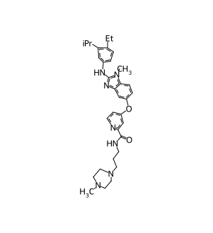 CCc1ccc(Nc2nc3cc(Oc4ccnc(C(=O)NCCCN5CCN(C)CC5)c4)ccc3n2C)cc1C(C)C